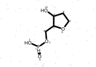 O=[PH](O)OCC1OCCC1O